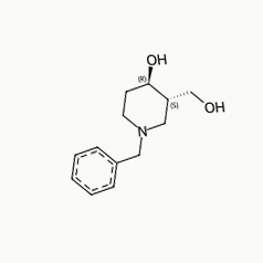 OC[C@@H]1CN(Cc2ccccc2)CC[C@H]1O